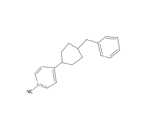 N#Cc1ccc(C2CCC(Cc3ccccc3)CC2)cc1